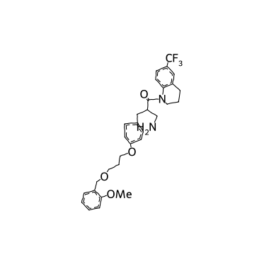 COc1ccccc1COCCCOc1ccc(CC(CN)C(=O)N2CCCc3cc(C(F)(F)F)ccc32)cc1